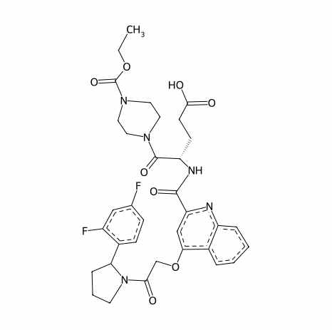 CCOC(=O)N1CCN(C(=O)[C@H](CCC(=O)O)NC(=O)c2cc(OCC(=O)N3CCCC3c3ccc(F)cc3F)c3ccccc3n2)CC1